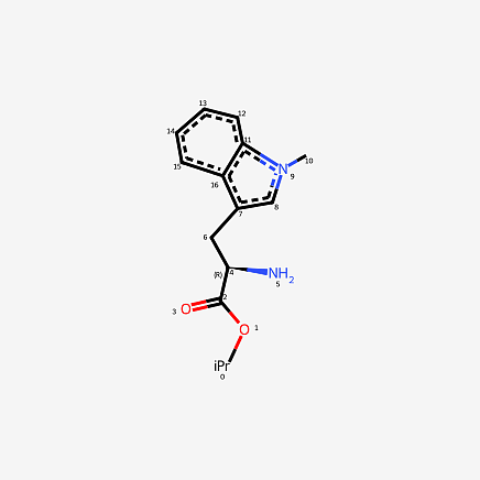 CC(C)OC(=O)[C@H](N)Cc1cn(C)c2ccccc12